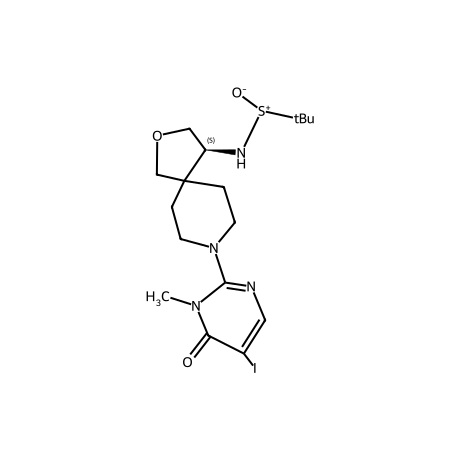 Cn1c(N2CCC3(CC2)COC[C@H]3N[S+]([O-])C(C)(C)C)ncc(I)c1=O